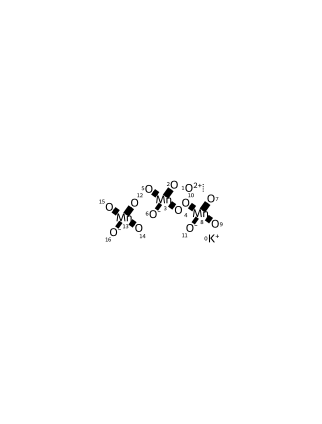 [K+].[O+2].[O]=[Mn](=[O])(=[O])[O-].[O]=[Mn](=[O])(=[O])[O-].[O]=[Mn](=[O])(=[O])[O-]